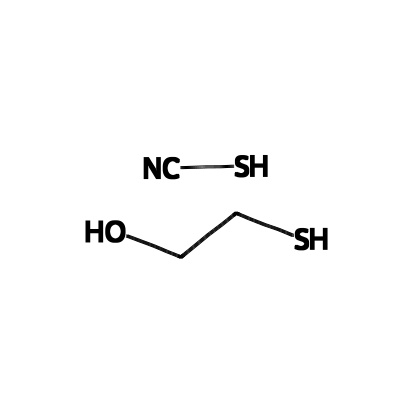 N#CS.OCCS